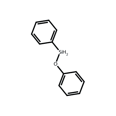 c1ccc(O[SiH2]c2ccccc2)cc1